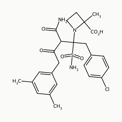 Cc1cc(C)cc(CC(=O)C(C(N)=O)C(Cc2ccc(Cl)cc2)(N2CCC2(C)C(=O)O)S(N)(=O)=O)c1